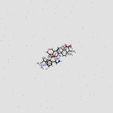 CN[C@@](C)(CO[C@H]1[C@H](n2nccc2-c2cccc(F)c2)C[C@@]23COC[C@]1(C)[C@@H]2CC[C@H]1C3=CC[C@@]2(C)[C@H](C(=O)O)[C@@](C)([C@H](C)C(C)C)CC[C@]12C)C(C)C